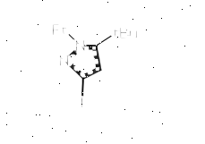 CCn1nc(I)cc1C(C)(C)C